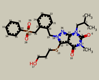 CC(C)Cn1c(=O)n(C)c(=O)c2c(SCCCO)n(Cc3ccccc3CS(=O)(=O)c3ccccc3)nc21